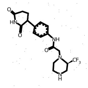 O=C1CCC(c2ccc(NC(=O)CN3CCNC[C@@H]3C(F)(F)F)cc2)C(=O)N1